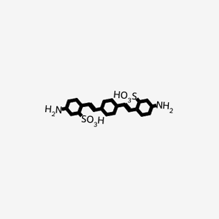 NC1CCC(C=CC2CCC(C=CC3CCC(N)CC3S(=O)(=O)O)CC2)C(S(=O)(=O)O)C1